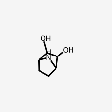 OC1C2CCC(N2)C1O